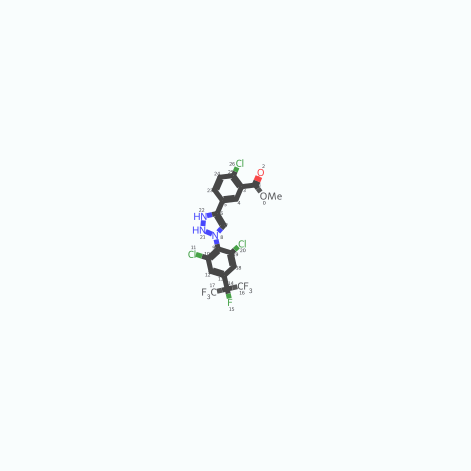 COC(=O)c1cc(C2=CN(c3c(Cl)cc(C(F)(C(F)(F)F)C(F)(F)F)cc3Cl)NN2)ccc1Cl